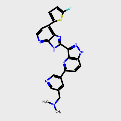 CN(C)Cc1cncc(-c2ccc3[nH]nc(-c4nc5c(-c6ccc(F)s6)ccnc5[nH]4)c3n2)c1